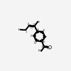 CC/C=C(/C)c1ccc(C(C)=O)cc1